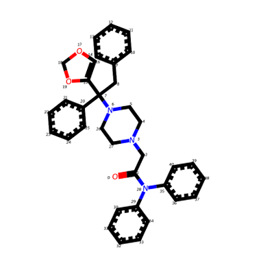 O=C(CN1CCN(C(Cc2ccccc2)(C2=COCO2)c2ccccc2)CC1)N(c1ccccc1)c1ccccc1